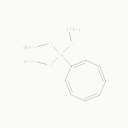 CCCCCCO[Si](OCCCCCC)(OCCCCCC)C1=C/C=C\C=C/C=C\1